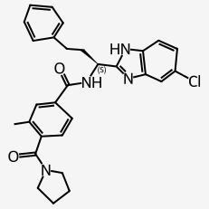 Cc1cc(C(=O)N[C@@H](CCc2ccccc2)c2nc3cc(Cl)ccc3[nH]2)ccc1C(=O)N1CCCC1